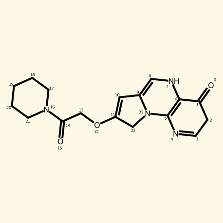 O=C1CC=NC2=C1NC=C1C=C(OCC(=O)N3CCCCC3)CN12